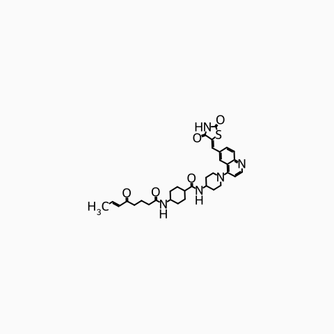 C/C=C/C(=O)CCCC(=O)NC1CCC(C(=O)NC2CCN(c3ccnc4ccc(/C=C5\SC(=O)NC5=O)cc34)CC2)CC1